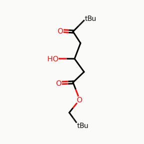 CC(C)(C)COC(=O)CC(O)CC(=O)C(C)(C)C